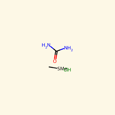 CSC.Cl.NC(N)=O